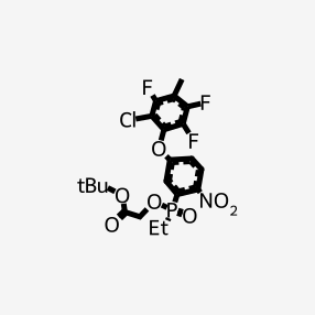 CCP(=O)(OCC(=O)OC(C)(C)C)c1cc(Oc2c(F)c(F)c(C)c(F)c2Cl)ccc1[N+](=O)[O-]